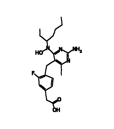 CCCCC(CC)N(O)c1nc(N)nc(C)c1Cc1ccc(CC(=O)O)cc1F